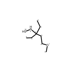 CCC(CC)(CCOC)NS